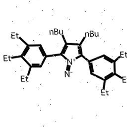 CCCCC1=C(c2cc(CC)c(CC)c(CC)c2)[N+](=[N-])C(c2cc(CC)c(CC)c(CC)c2)=C1CCCC